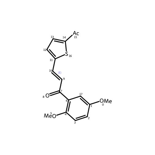 COc1ccc(OC)c(C(=O)/C=C/c2ccc(C(C)=O)s2)c1